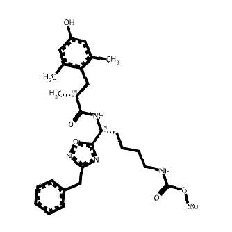 Cc1cc(O)cc(C)c1C[C@@H](C)C(=O)N[C@H](CCCCNC(=O)OC(C)(C)C)c1nc(Cc2ccccc2)no1